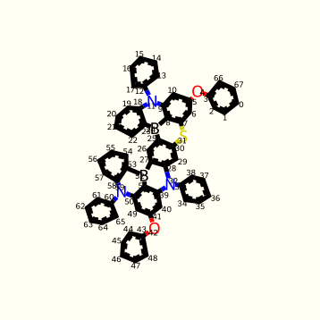 c1ccc(Oc2cc3c4c(c2)N(c2ccccc2)c2ccccc2B4c2cc4c(cc2S3)N(c2ccccc2)c2cc(Oc3ccccc3)cc3c2B4c2ccccc2N3c2ccccc2)cc1